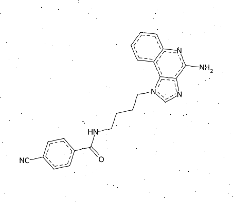 N#Cc1ccc(C(=O)NCCCCn2cnc3c(N)nc4ccccc4c32)cc1